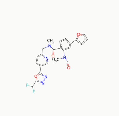 CN(Cc1ccc(-c2nnc(C(F)F)o2)cn1)C(=O)c1ccc(-c2ccco2)cc1N(C)C=O